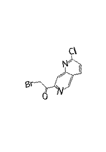 O=C(CBr)c1cc2nc(Cl)ccc2cn1